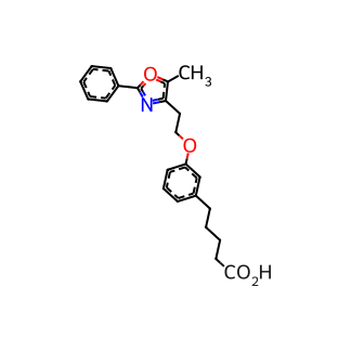 Cc1oc(-c2ccccc2)nc1CCOc1cccc(CCCCC(=O)O)c1